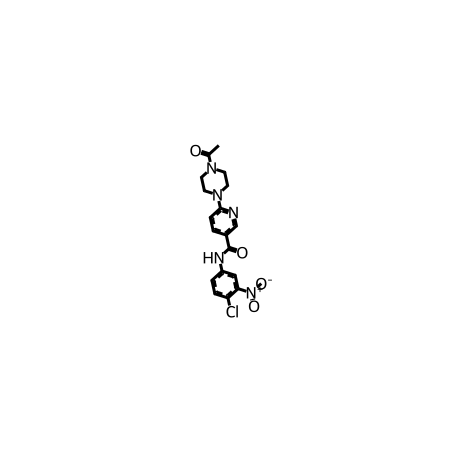 CC(=O)N1CCN(c2ccc(C(=O)Nc3ccc(Cl)c([N+](=O)[O-])c3)cn2)CC1